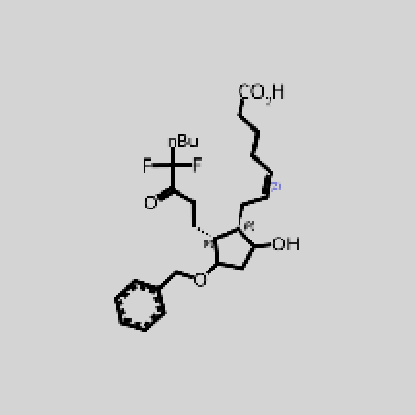 CCCCC(F)(F)C(=O)CC[C@H]1C(OCc2ccccc2)CC(O)[C@@H]1C/C=C\CCCC(=O)O